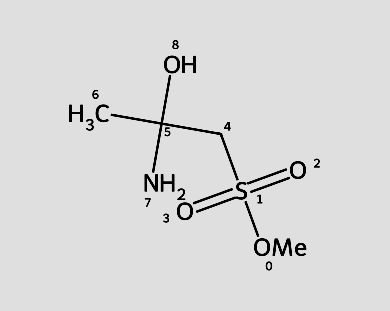 COS(=O)(=O)CC(C)(N)O